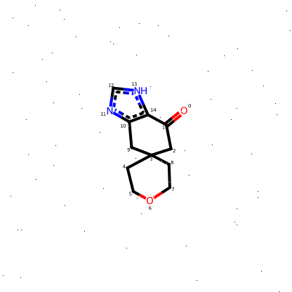 O=C1CC2(CCOCC2)Cc2nc[nH]c21